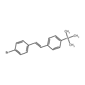 C[Si](C)(C)c1ccc(C=Cc2ccc(Br)cc2)cc1